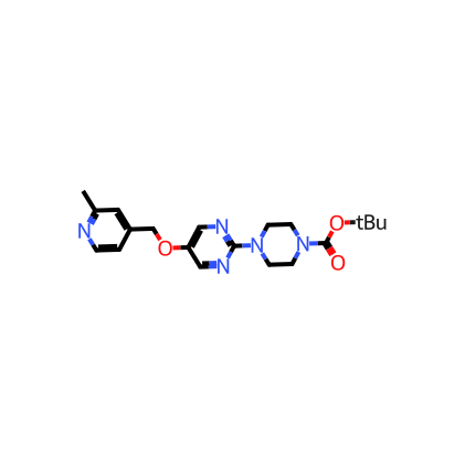 Cc1cc(COc2cnc(N3CCN(C(=O)OC(C)(C)C)CC3)nc2)ccn1